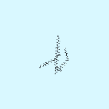 CCCCCCCC/C=C\CCCCCCCC(=O)O.CCCCCCCCCCCCCC(=O)OCC(CCCCCCCCCC)CCCCCCCCCCCC